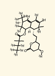 [2H]O[C@H]1CC(=O)OC(CC[C@@H]2[C@@H]3C(=C([2H])[C@]([2H])(C([2H])([2H])[2H])C([2H])([2H])C3OC(=O)C(C)(C)C([2H])([2H])C([2H])([2H])[2H])C([2H])=C([2H])[C@]2([2H])C)C1